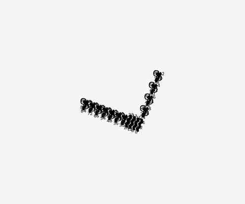 CCCCCC.CCCCCC.CCCCCC.CCCCCC.CCOC(C)=O.CCOC(C)=O.CCOC(C)=O.CCOC(C)=O.CCOC(C)=O.CCOC(C)=O.CCOC(C)=O.CCOC(C)=O.CCOC(C)=O.CCOC(C)=O.CCOC(C)=O